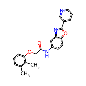 Cc1cccc(OCC(=O)Nc2ccc3oc(-c4cccnc4)nc3c2)c1C